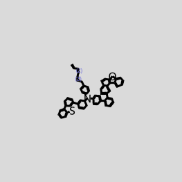 C=C/C=C\C=C/Cc1ccc(N(c2ccc(-c3ccccc3-c3ccc4ccc5oc6ccccc6c5c4c3)cc2)C2C=C(c3cccc4c3sc3ccccc34)C=CC2)cc1